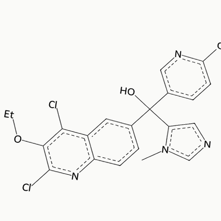 CCOc1c(Cl)nc2ccc(C(O)(c3ccc(C(F)(F)F)nc3)c3cncn3C)cc2c1Cl